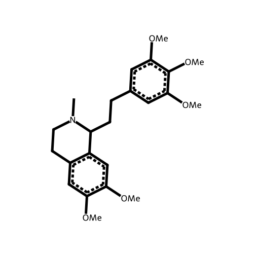 COc1cc2c(cc1OC)C(CCc1cc(OC)c(OC)c(OC)c1)N(C)CC2